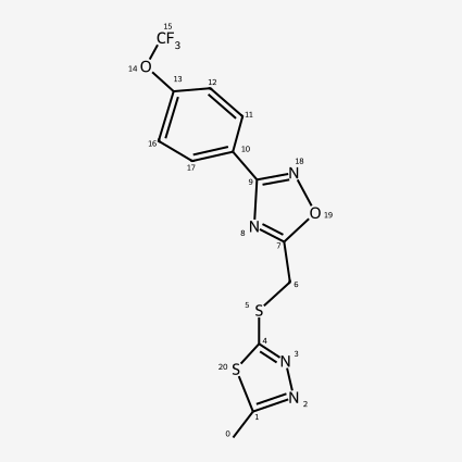 Cc1nnc(SCc2nc(-c3ccc(OC(F)(F)F)cc3)no2)s1